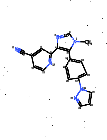 Cn1cnc(-c2cc(C#N)ccn2)c1-c1ccc(-n2cccn2)cc1